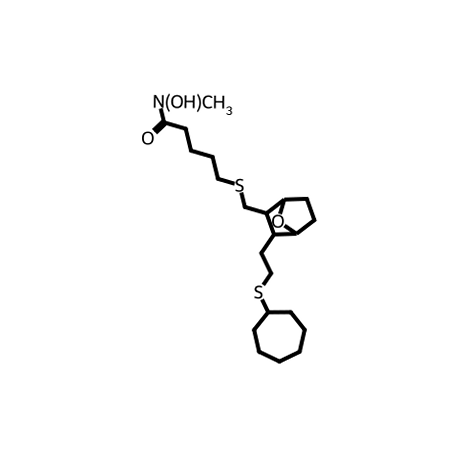 CN(O)C(=O)CCCCSCC1C2CCC(O2)C1CCSC1CCCCCC1